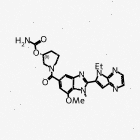 CCn1c(-c2nc3cc(C(=O)N4CCC[C@@H](OC(N)=O)C4)cc(OC)c3n2C)cc2nccnc21